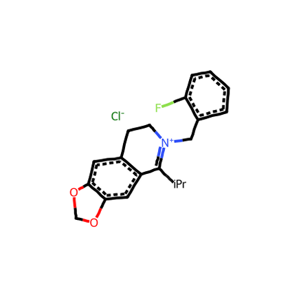 CC(C)C1=[N+](Cc2ccccc2F)CCc2cc3c(cc21)OCO3.[Cl-]